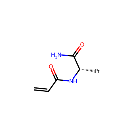 C=CC(=O)N[C@H](C(N)=O)C(C)C